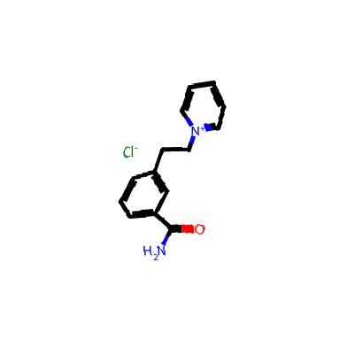 NC(=O)c1cccc(CC[n+]2ccccc2)c1.[Cl-]